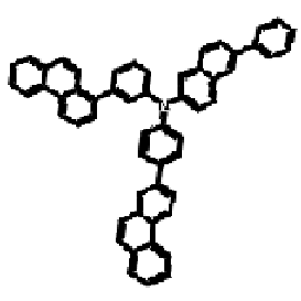 c1ccc(-c2ccc3cc(N(c4ccc(-c5ccc6c(ccc7ccccc76)c5)cc4)c4cccc(-c5cccc6c5ccc5ccccc56)c4)ccc3c2)cc1